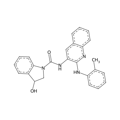 Cc1ccccc1Nc1nc2ccccc2cc1NC(=O)N1CC(O)c2ccccc21